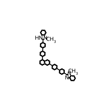 CN1c2ccccc2NC1c1ccc(-c2ccc(-c3cccc4cc(-c5ccc(-c6ccc(-c7nc8ccccc8n7C)cc6)cc5)ccc34)cc2)cc1